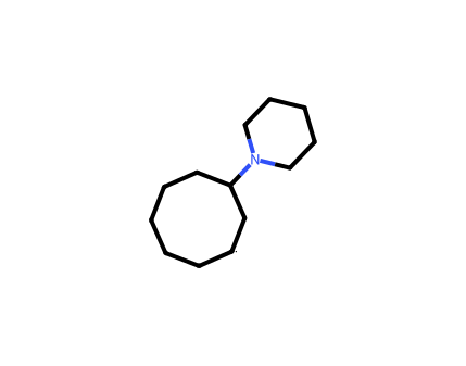 [CH]1CCCCCC(N2CCCCC2)C1